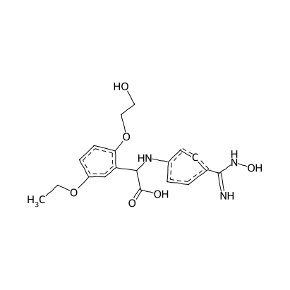 CCOc1ccc(OCCO)c(C(Nc2ccc(C(=N)NO)cc2)C(=O)O)c1